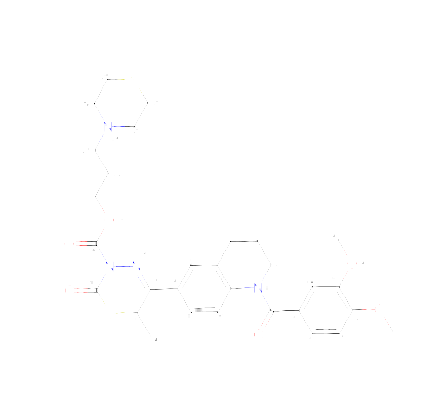 COc1ccc(C(=O)N2CCCc3cc(C4=NN(C(=O)OCCCN5CCSCC5)C(=O)SC4C)ccc32)cc1OC